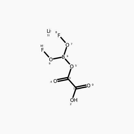 O=C(O)C(=O)OB(OF)OF.[Li]